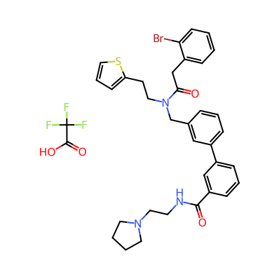 O=C(NCCN1CCCC1)c1cccc(-c2cccc(CN(CCc3cccs3)C(=O)Cc3ccccc3Br)c2)c1.O=C(O)C(F)(F)F